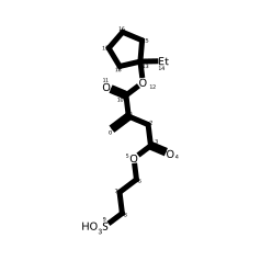 C=C(CC(=O)OCCCS(=O)(=O)O)C(=O)OC1(CC)CCCC1